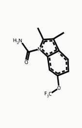 Cc1c(C)n(C(N)=O)c2cc(OC(F)(F)F)ccc12